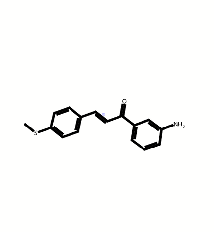 CSc1ccc(/C=C/C(=O)c2cccc(N)c2)cc1